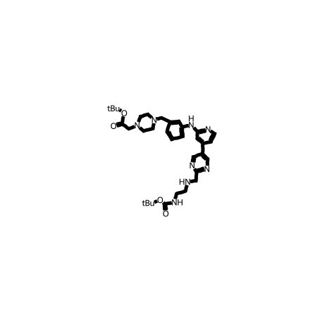 CC(C)(C)OC(=O)CN1CCN(Cc2cccc(Nc3cc(-c4cnc(CNCCNC(=O)OC(C)(C)C)nc4)ccn3)c2)CC1